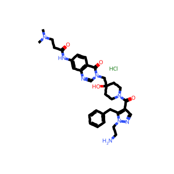 CN(C)CCC(=O)Nc1ccc2c(=O)n(CC3(O)CCN(C(=O)c4cnn(CCN)c4Cc4ccccc4)CC3)cnc2c1.Cl